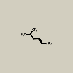 CCCCC=CCC(C(F)(F)F)C(F)(F)F